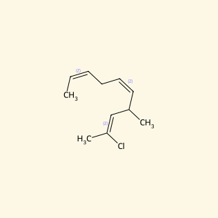 C/C=C\C/C=C\C(C)/C=C(/C)Cl